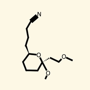 COCC[C@]1(OC)CCC[C@@H](CCCC#N)O1